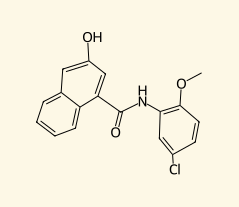 COc1ccc(Cl)cc1NC(=O)c1cc(O)cc2ccccc12